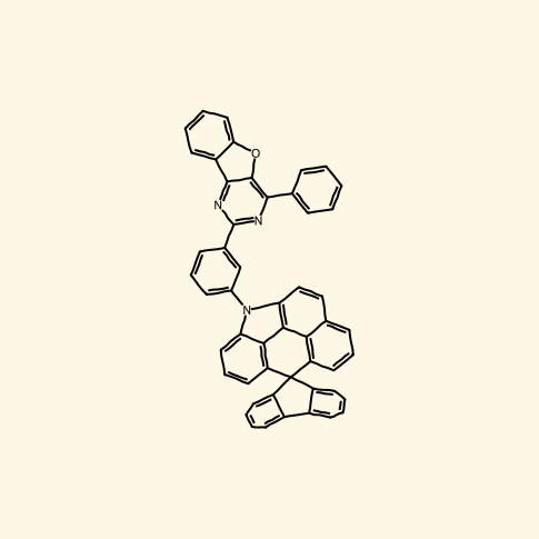 c1ccc(-c2nc(-c3cccc(-n4c5cccc6c5c5c7c(cccc7ccc54)C64c5ccccc5-c5ccccc54)c3)nc3c2oc2ccccc23)cc1